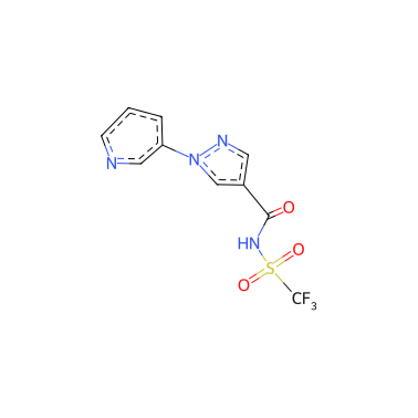 O=C(NS(=O)(=O)C(F)(F)F)c1cnn(-c2cccnc2)c1